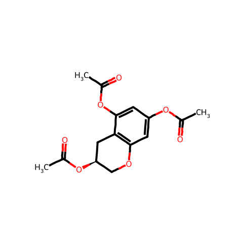 CC(=O)Oc1cc2c(c(OC(C)=O)c1)C[C@H](OC(C)=O)CO2